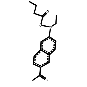 CCCC(=O)ON(CC)c1ccc2cc(C(C)=O)ccc2c1